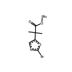 CC(C)(C)OC(=O)C(C)(C)c1cnc(Br)s1